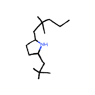 CCCC(C)(C)CC1CCC(CC(C)(C)C)N1